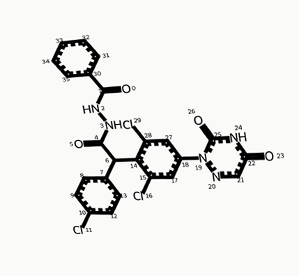 O=C(NNC(=O)C(c1ccc(Cl)cc1)c1c(Cl)cc(-n2ncc(=O)[nH]c2=O)cc1Cl)c1ccccc1